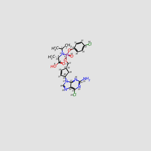 CC(C)N([C@@H](C)C(=O)O)P(=O)(OC[C@@H]1C=C[C@H](n2cnc3c(Cl)nc(N)nc32)C1)Oc1ccc(Cl)cc1